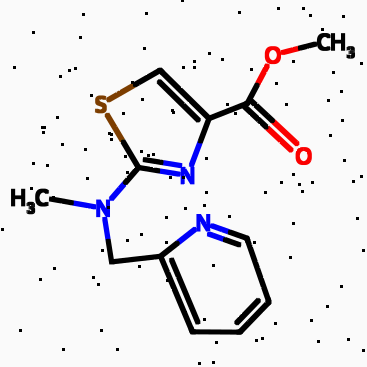 COC(=O)c1csc(N(C)Cc2ccccn2)n1